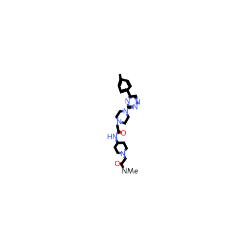 CNC(=O)CN1CCC(NC(=O)CN2CCN(c3nncc(-c4ccc(C)cc4)n3)CC2)CC1